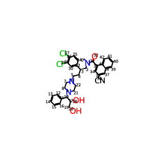 CN(C[C@@H](CCN1CCN([C@@H](c2ccccc2)[C@H](O)CO)CC1)c1ccc(Cl)c(Cl)c1)C(=O)c1cc(C#N)cc2ccccc12